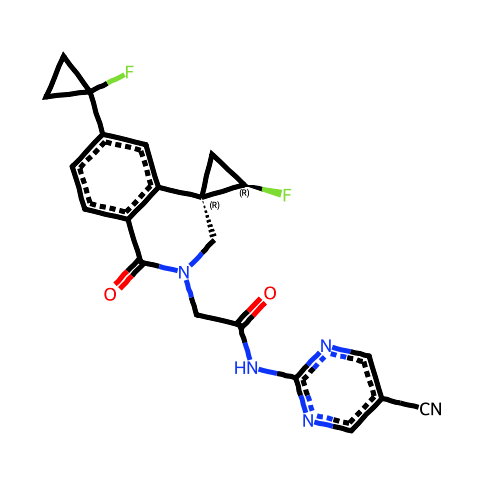 N#Cc1cnc(NC(=O)CN2C[C@@]3(C[C@H]3F)c3cc(C4(F)CC4)ccc3C2=O)nc1